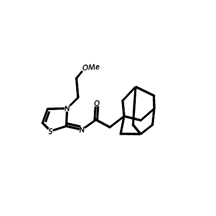 COCCn1ccsc1=NC(=O)CC12CC3CC(CC(C3)C1)C2